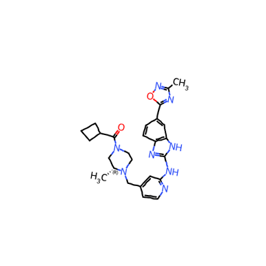 Cc1noc(-c2ccc3nc(Nc4cc(CN5CCN(C(=O)C6CCC6)C[C@H]5C)ccn4)[nH]c3c2)n1